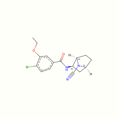 CCOc1cc(C(=O)N[C@@H]2C[C@@H]3CC[C@H]2N3C#N)ccc1Br